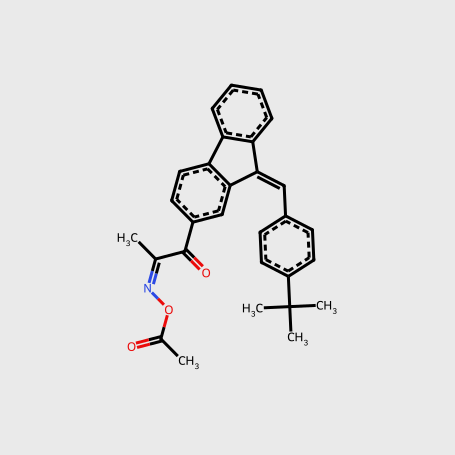 CC(=O)O/N=C(/C)C(=O)c1ccc2c(c1)/C(=C\c1ccc(C(C)(C)C)cc1)c1ccccc1-2